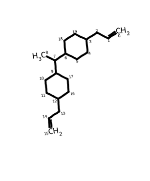 C=CCC1CCC(C(C)C2CCC(CC=C)CC2)CC1